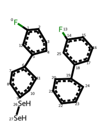 Fc1cccc(-c2ccccc2)c1.Fc1cccc(-c2ccccc2)c1.[SeH][SeH]